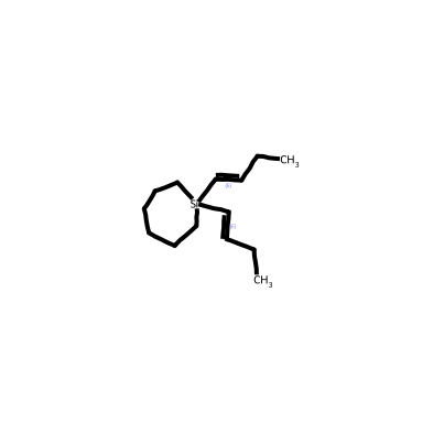 CC/C=C/[Si]1(/C=C/CC)CCCCCC1